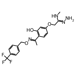 CN/C(COc1ccc(/C(C)=N/OCc2ccc(C(F)(F)F)cc2)c(O)c1)=N\N